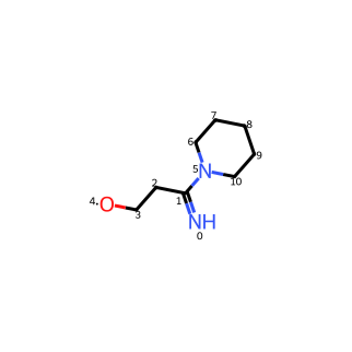 N=C(CC[O])N1CCCCC1